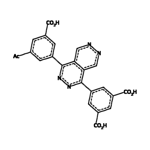 CC(=O)c1cc(C(=O)O)cc(-c2nnc(-c3cc(C(=O)O)cc(C(=O)O)c3)c3cnncc23)c1